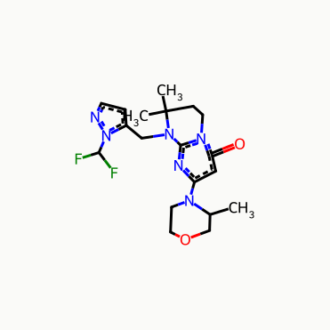 CC1COCCN1c1cc(=O)n2c(n1)N(Cc1ccnn1C(F)F)C(C)(C)CC2